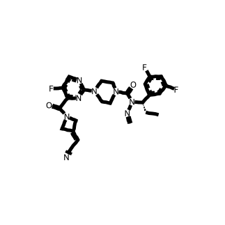 C=NN(C(=O)N1CCN(c2ncc(F)c(C(=O)N3CC(=CC#N)C3)n2)CC1)[C@@H](CC)c1cc(F)cc(F)c1